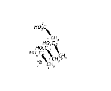 CC(=O)O.CC(=O)O.CC(=O)O.CC(=O)O.[Yb]